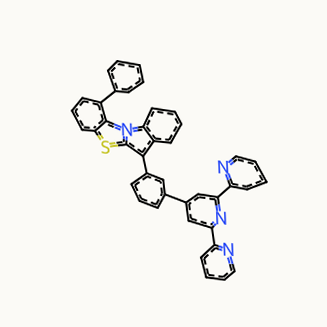 c1ccc(-c2cccc3sc4c(-c5cccc(-c6cc(-c7ccccn7)nc(-c7ccccn7)c6)c5)c5ccccc5n4c23)cc1